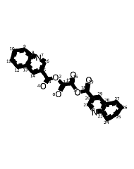 O=C(OC(=O)c1cnc2ccccc2c1)C(=O)OC(=O)c1cnc2ccccc2c1